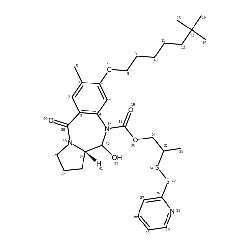 Cc1cc2c(cc1OCCCCCC(C)(C)C)N(C(=O)OCC(C)SSc1ccccn1)C(O)[C@@H]1CCCN1C2=O